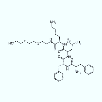 CC(C)C[C@@H](NC(=O)[C@@H](Cc1ccccc1)NC(=O)[C@H](N)Cc1ccccc1)C(=O)N[C@H](CCCCN)C(=O)NCCOCCOCCO